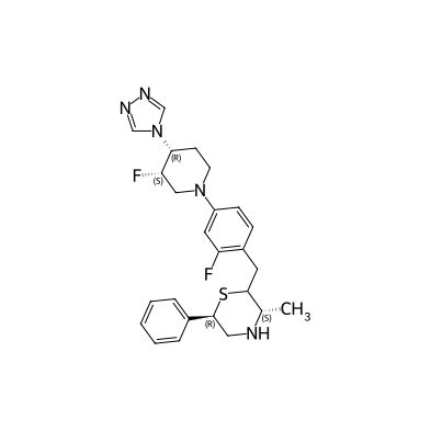 C[C@@H]1NC[C@@H](c2ccccc2)SC1Cc1ccc(N2CC[C@@H](n3cnnc3)[C@@H](F)C2)cc1F